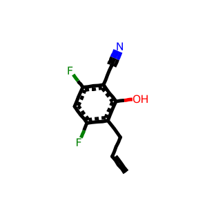 C=CCc1c(F)cc(F)c(C#N)c1O